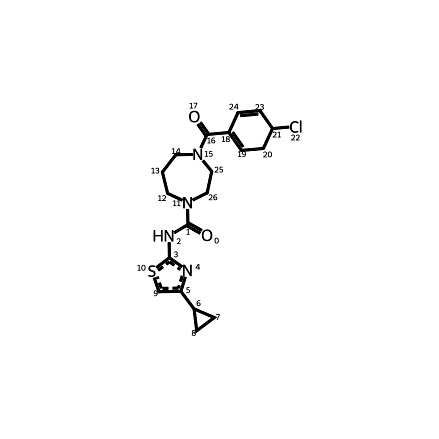 O=C(Nc1nc(C2CC2)cs1)N1CCCN(C(=O)C2=CCC(Cl)C=C2)CC1